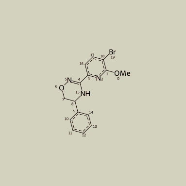 COc1nc(C2=NOCC(c3ccccc3)N2)ccc1Br